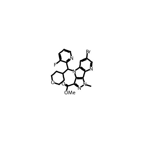 COC(=O)c1nn(C)c2c3ncc(Br)cc3n(C(c3ncccc3F)C3CCOCC3)c12